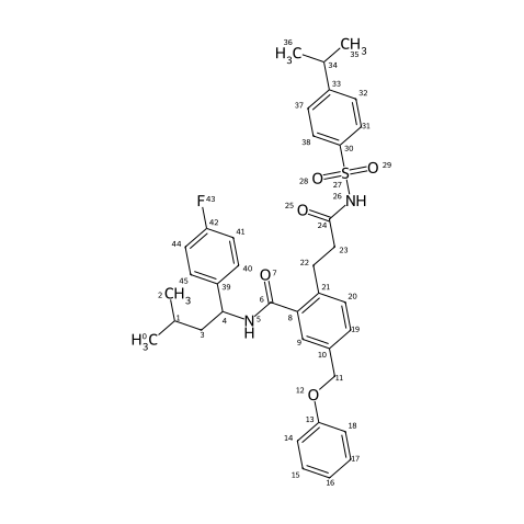 CC(C)CC(NC(=O)c1cc(COc2ccccc2)ccc1CCC(=O)NS(=O)(=O)c1ccc(C(C)C)cc1)c1ccc(F)cc1